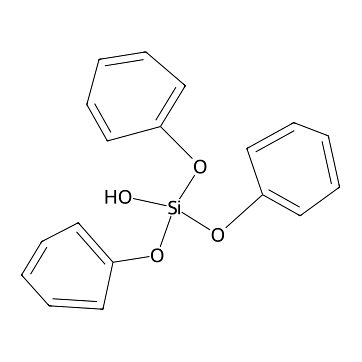 O[Si](Oc1ccccc1)(Oc1ccccc1)Oc1ccccc1